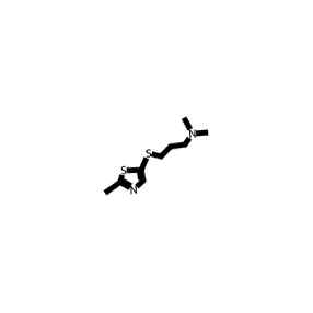 Cc1ncc(SCCCN(C)C)s1